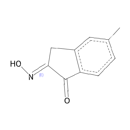 Cc1ccc2c(c1)C/C(=N\O)C2=O